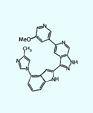 COc1cncc(-c2cc3c(-c4cc5c(-n6cnc(C)c6)cccc5[nH]4)n[nH]c3cn2)c1